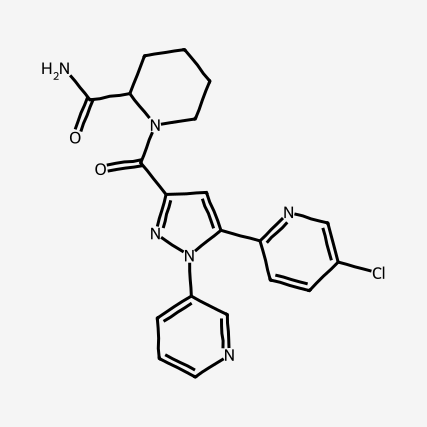 NC(=O)C1CCCCN1C(=O)c1cc(-c2ccc(Cl)cn2)n(-c2cccnc2)n1